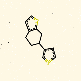 c1cc(C2CCc3ccsc3C2)cs1